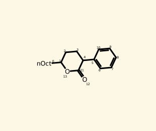 CCCCCCCCC1CCC(c2ccccc2)C(=O)O1